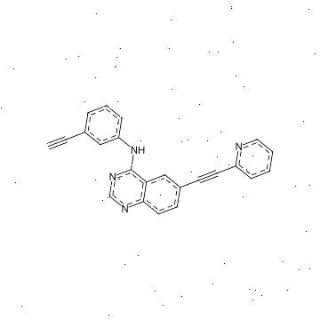 C#Cc1cccc(Nc2ncnc3ccc(C#Cc4ccccn4)cc23)c1